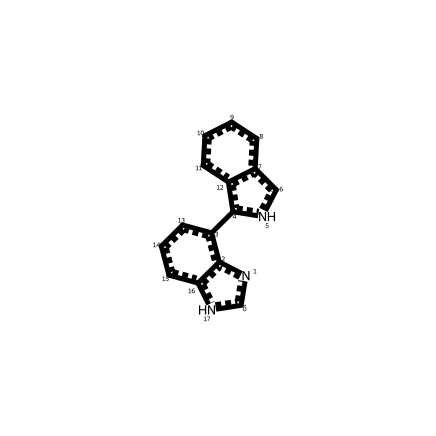 [c]1nc2c(-c3[nH]cc4ccccc34)cccc2[nH]1